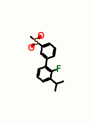 CC(C)c1cccc(-c2cccc(S(C)(=O)=O)c2)c1F